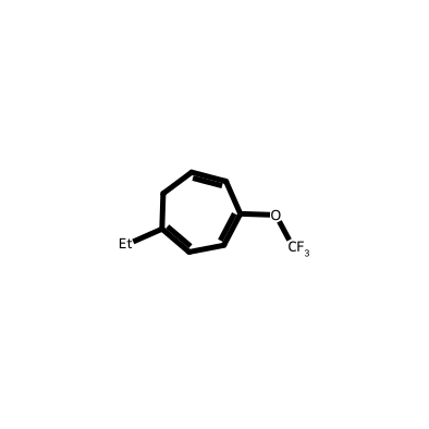 CCC1=CC=C(OC(F)(F)F)C=CC1